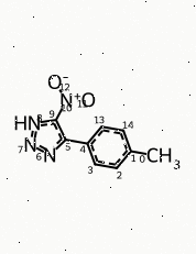 Cc1ccc(-c2nn[nH]c2[N+](=O)[O-])cc1